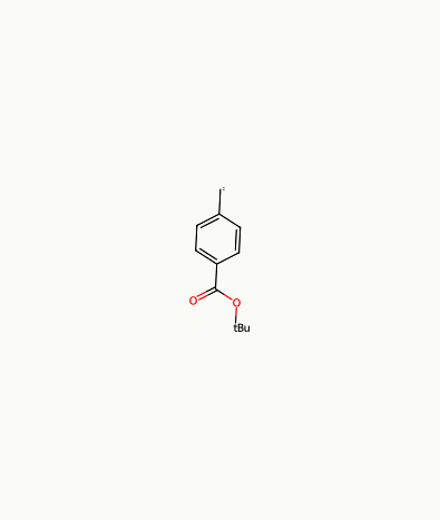 [CH]c1ccc(C(=O)OC(C)(C)C)cc1